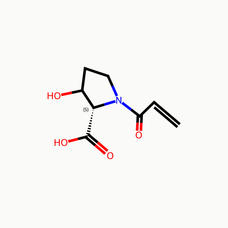 C=CC(=O)N1CCC(O)[C@H]1C(=O)O